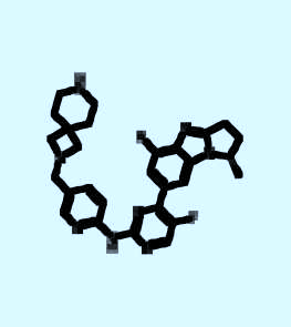 C[C@@H]1CCc2nc3c(F)cc(-c4nc(Nc5ccc(CN6CC7(CCNCC7)C6)cn5)ncc4F)cc3n21